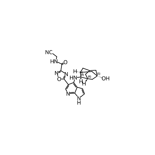 N#CCNC(=O)c1noc(-c2cnc3[nH]ccc3c2N[C@H]2[C@@H]3CC4C[C@H]2C[C@@](O)(C4)C3)n1